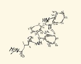 NC(=O)CCC(=O)NC1c2ccccc2-c2c(C3Nc4ccncc4N3)cccc21